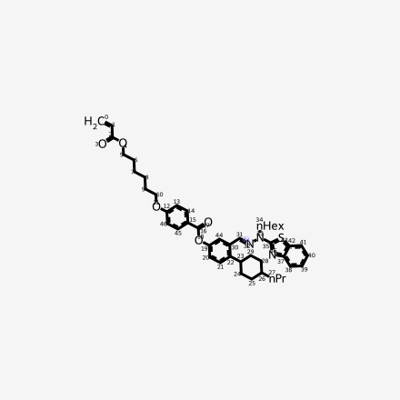 C=CC(=O)OCCCCCCOc1ccc(C(=O)Oc2ccc(C3CCC(CCC)CC3)c(/C=N/N(CCCCCC)c3nc4ccccc4s3)c2)cc1